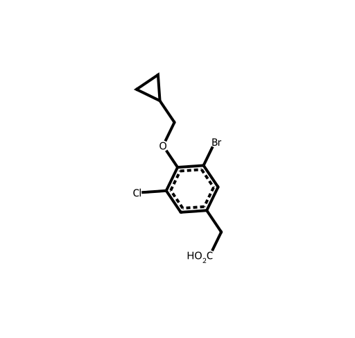 O=C(O)Cc1cc(Cl)c(OCC2CC2)c(Br)c1